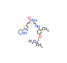 Cc1cc(OCCN(C)C)ccc1N=N/C=c1/[nH]c(=O)/c(=C/c2cnc(C3CCCCN3)s2)s1